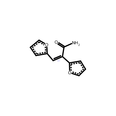 NC(=O)/C(=C\c1ccco1)c1ccco1